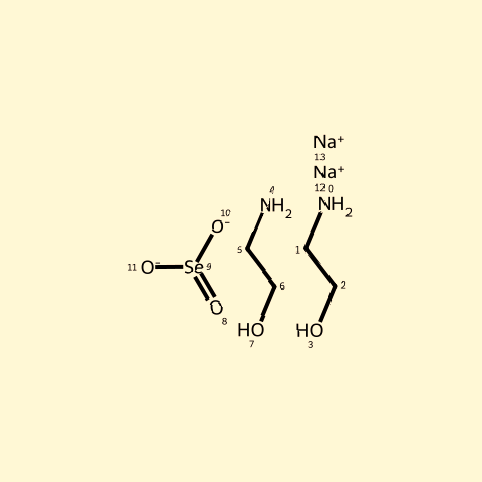 NCCO.NCCO.O=[Se]([O-])[O-].[Na+].[Na+]